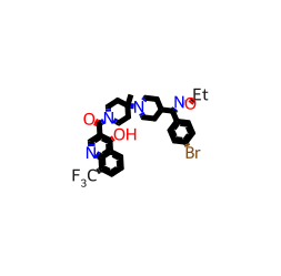 CCON=C(c1ccc(Br)cc1)C1CCN(C2(C)CCN(C(=O)c3cnc4c(C(F)(F)F)cccc4c3O)CC2)CC1